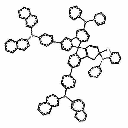 CC1(N(c2ccccc2)c2ccccc2)C=CC2=C(C1)c1cc(-c3ccc(N(c4ccc5ccccc5c4)c4ccc5ccccc5c4)cc3)ccc1C21c2ccc(-c3ccc(N(c4ccc5ccccc5c4)c4ccc5ccccc5c4)cc3)cc2-c2cc(N(c3ccccc3)c3ccccc3)ccc21